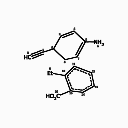 C#C[C]1C=CC(N)=CC1.CCc1ccccc1C(=O)O